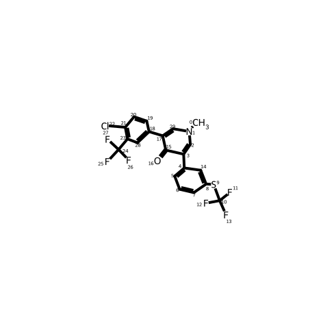 Cn1cc(-c2cccc(SC(F)(F)F)c2)c(=O)c(-c2ccc(Cl)c(C(F)(F)F)c2)c1